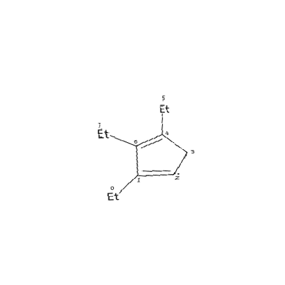 CCC1=[C]CC(CC)=C1CC